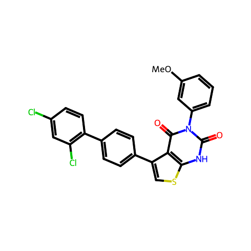 COc1cccc(-n2c(=O)[nH]c3scc(-c4ccc(-c5ccc(Cl)cc5Cl)cc4)c3c2=O)c1